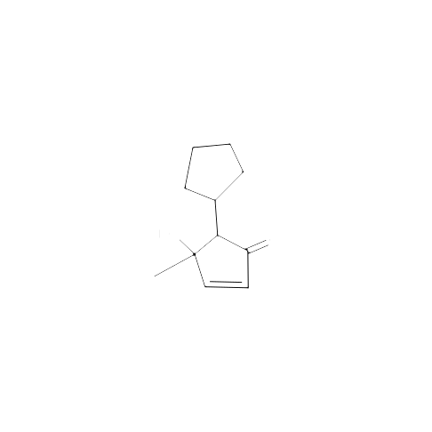 CC1(O)C=CC(=O)C1C1CCCC1